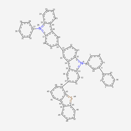 c1ccc(-c2cccc(-n3c4ccc(-c5ccc6c(c5)c5ccccc5n6-c5ccccc5)cc4c4cc(-c5cccc6c5sc5ccccc56)ccc43)c2)cc1